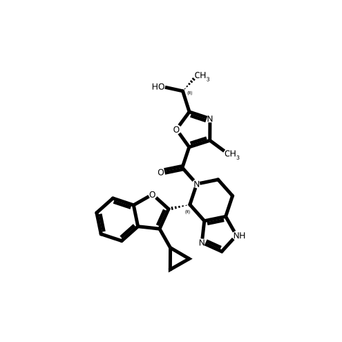 Cc1nc([C@@H](C)O)oc1C(=O)N1CCc2[nH]cnc2[C@@H]1c1oc2ccccc2c1C1CC1